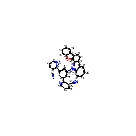 N#Cc1cccnc1-c1cc(-c2ncccc2C#N)cc(-n2c3ccccc3c3ccc4c5ccccc5oc4c32)c1